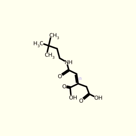 CC(C)(C)CCNC(=O)/C=C(/CC(=O)O)C(=O)O